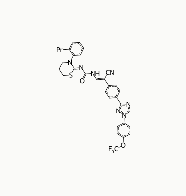 CC(C)c1ccccc1N1CCCS/C1=N\C(=O)N/C=C(\C#N)c1ccc(-c2ncn(-c3ccc(OC(F)(F)F)cc3)n2)cc1